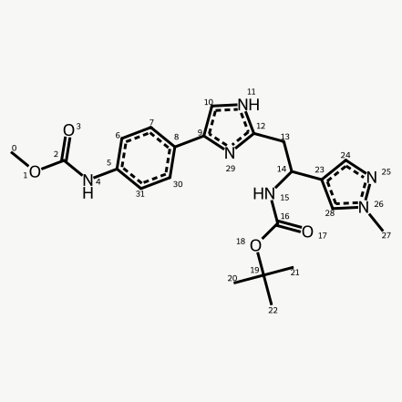 COC(=O)Nc1ccc(-c2c[nH]c(CC(NC(=O)OC(C)(C)C)c3cnn(C)c3)n2)cc1